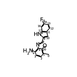 Cc1ccc(N)c2nc(-c3cc4ccc(F)cc4[nH]3)oc12